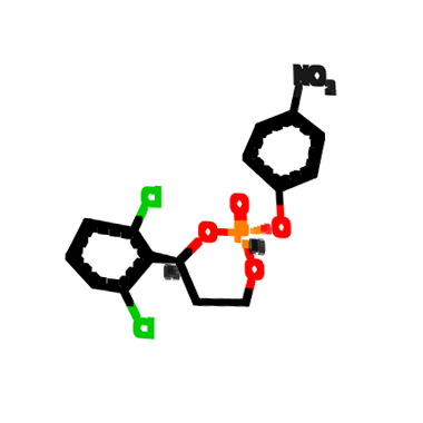 O=[N+]([O-])c1ccc(O[P@]2(=O)OCC[C@@H](c3c(Cl)cccc3Cl)O2)cc1